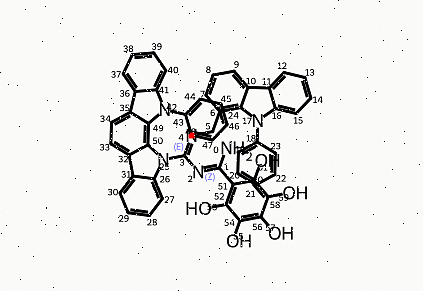 N/C(=N\C(=N/Cc1cccc2c3ccccc3n(-c3ccccc3)c12)n1c2ccccc2c2ccc3c4ccccc4n(-c4ccccc4)c3c21)c1c(O)c(O)c(O)c(O)c1O